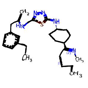 C=C(Cc1cccc(CC)c1)Nc1nnc(N[C@H]2CC[C@H](C(/C=C\CC)=N/C)CC2)s1